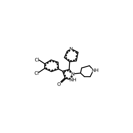 O=c1[nH]n(C2CCNCC2)c(-c2ccncc2)c1-c1ccc(Cl)c(Cl)c1